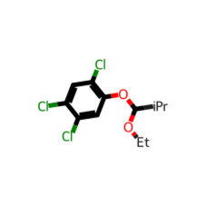 CCOC(Oc1cc(Cl)c(Cl)cc1Cl)C(C)C